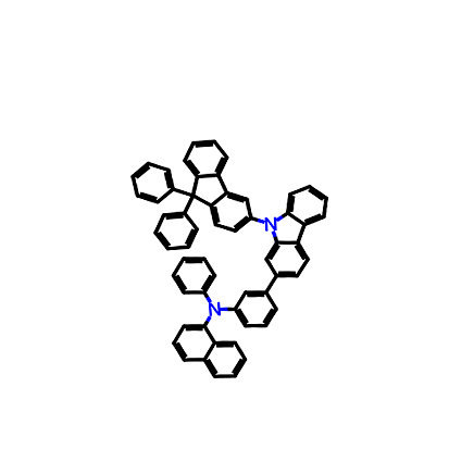 c1ccc(N(c2cccc(-c3ccc4c5ccccc5n(-c5ccc6c(c5)-c5ccccc5C6(c5ccccc5)c5ccccc5)c4c3)c2)c2cccc3ccccc23)cc1